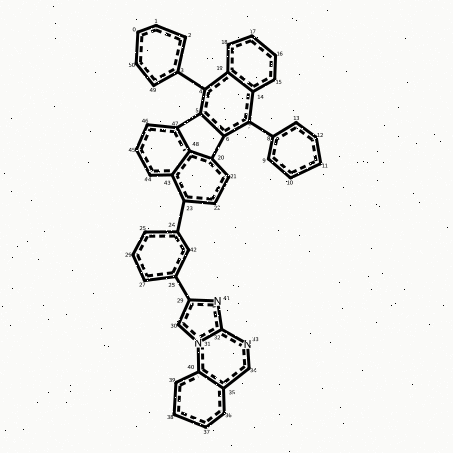 c1ccc(-c2c3c(c(-c4ccccc4)c4ccccc24)-c2ccc(-c4cccc(-c5cn6c(ncc7ccccc76)n5)c4)c4cccc-3c24)cc1